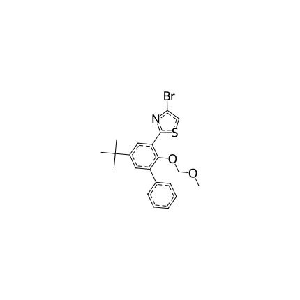 COCOc1c(-c2ccccc2)cc(C(C)(C)C)cc1-c1nc(Br)cs1